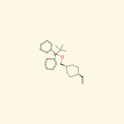 C=C[C@H]1CC[C@@H](CO[Si](c2ccccc2)(c2ccccc2)C(C)(C)C)CC1